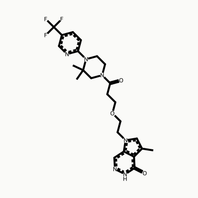 Cc1cn(CCOCCC(=O)N2CCN(c3ccc(C(F)(F)F)cn3)C(C)(C)C2)c2cn[nH]c(=O)c12